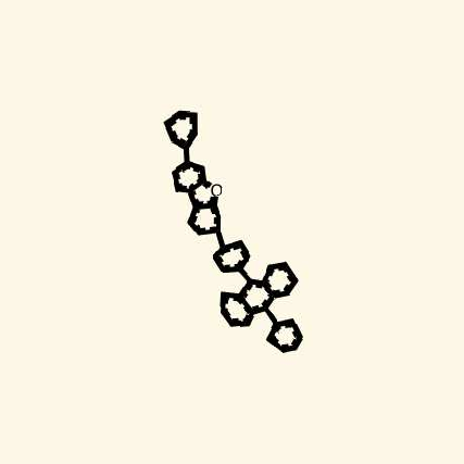 c1ccc(-c2ccc3c(c2)oc2cc(-c4ccc(-c5c6ccccc6c(-c6ccccc6)c6ccccc56)cc4)ccc23)cc1